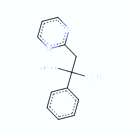 CCCCCC(Cc1ncccn1)(C(=O)O)c1ccccc1